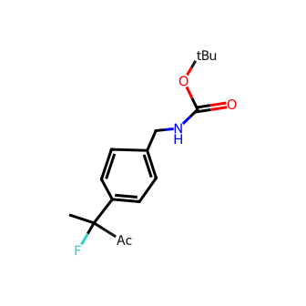 CC(=O)C(C)(F)c1ccc(CNC(=O)OC(C)(C)C)cc1